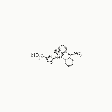 CCOC(=O)c1csc(NC(=O)C2(C)CC3([N+](=O)[O-])c4ccccc4C2c2ccccc23)n1